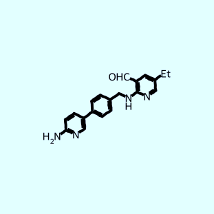 CCc1cnc(NCc2ccc(-c3ccc(N)nc3)cc2)c(C=O)c1